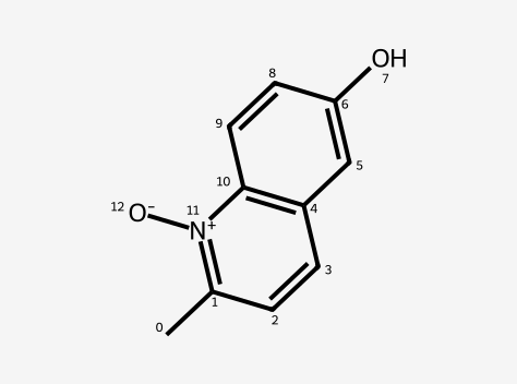 Cc1ccc2cc(O)ccc2[n+]1[O-]